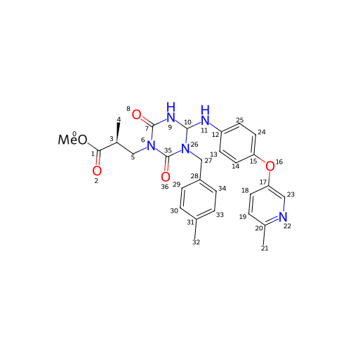 COC(=O)[C@@H](C)CN1C(=O)NC(Nc2ccc(Oc3ccc(C)nc3)cc2)N(Cc2ccc(C)cc2)C1=O